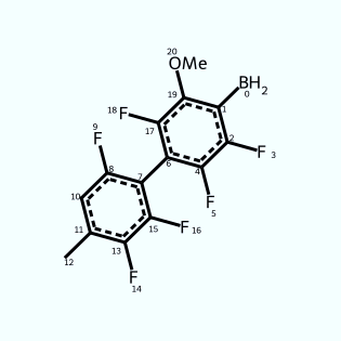 Bc1c(F)c(F)c(-c2c(F)cc(C)c(F)c2F)c(F)c1OC